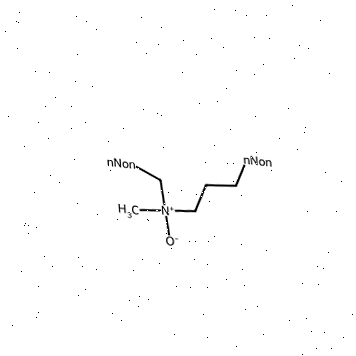 CCCCCCCCCCCC[N+](C)([O-])CCCCCCCCCC